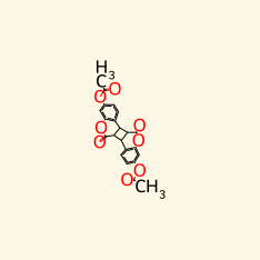 CC(=O)Oc1ccc2c(c1)OC(=O)C1C2C2C(=O)Oc3cc(OC(C)=O)ccc3C12